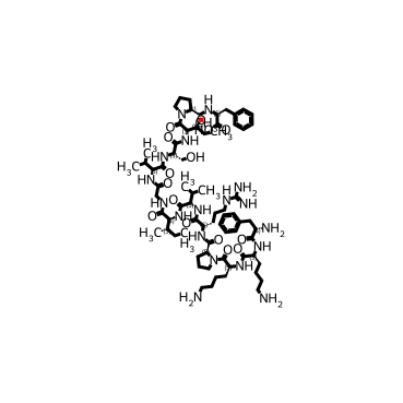 CC[C@H](C)[C@H](NC(=O)[C@@H](NC(=O)[C@H](CCCNC(=N)N)NC(=O)[C@@H]1CCCN1C(=O)[C@H](CCCCN)NC(=O)[C@H](CCCCN)NC(=O)[C@@H](N)Cc1ccccc1)C(C)C)C(=O)NCC(=O)N[C@H](C(=O)N[C@@H](CO)C(=O)N[C@H](C(=O)N1CCC[C@H]1C(=O)N[C@@H](Cc1ccccc1)C(=O)O)[C@@H](C)CC)C(C)C